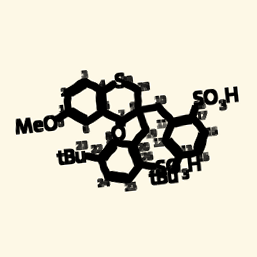 COc1ccc2c(c1)C(=O)C(Cc1cc(C(C)(C)C)ccc1S(=O)(=O)O)(Cc1cc(C(C)(C)C)ccc1S(=O)(=O)O)CS2